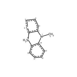 CN1c2ccccc2[SiH2]c2ccccc21